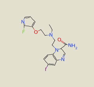 CCN(CCOc1cccnc1F)CCN1c2ccc(I)cc2N=CC1C(N)=O